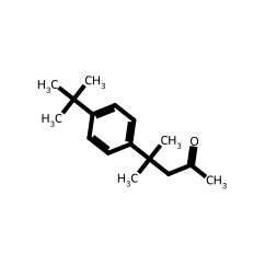 CC(=O)CC(C)(C)c1ccc(C(C)(C)C)cc1